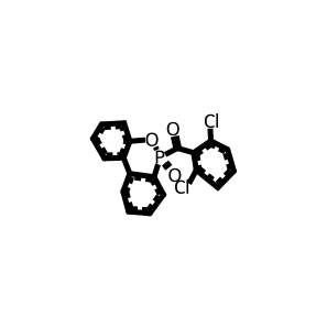 O=C(c1c(Cl)cccc1Cl)P1(=O)Oc2ccccc2-c2ccccc21